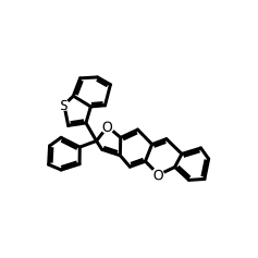 C1=c2cc3c(cc2Oc2ccccc21)=CC(c1ccccc1)(c1csc2ccccc12)O3